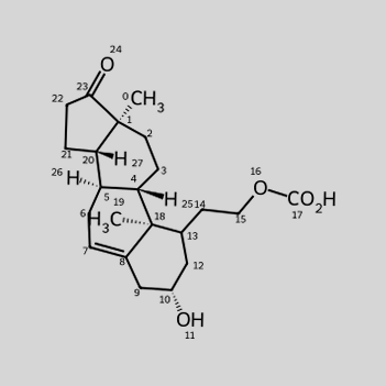 C[C@]12CC[C@H]3[C@@H](CC=C4C[C@@H](O)CC(CCOC(=O)O)[C@@]43C)[C@@H]1CCC2=O